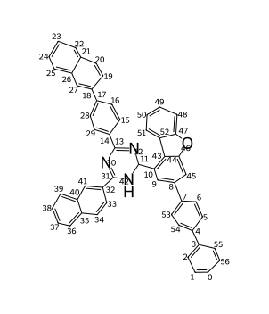 c1ccc(-c2ccc(-c3cc(C4N=C(c5ccc(-c6ccc7ccccc7c6)cc5)N=C(c5ccc6ccccc6c5)N4)c4c(c3)oc3ccccc34)cc2)cc1